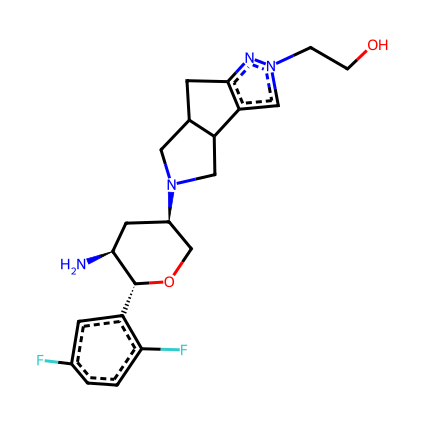 N[C@H]1C[C@@H](N2CC3Cc4nn(CCO)cc4C3C2)CO[C@@H]1c1cc(F)ccc1F